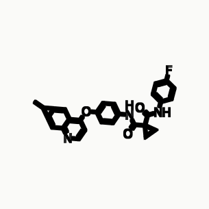 CC1c2cc3nccc(Oc4ccc(NC(=O)C5(C(=O)Nc6ccc(F)cc6)CC5)cc4)c3cc21